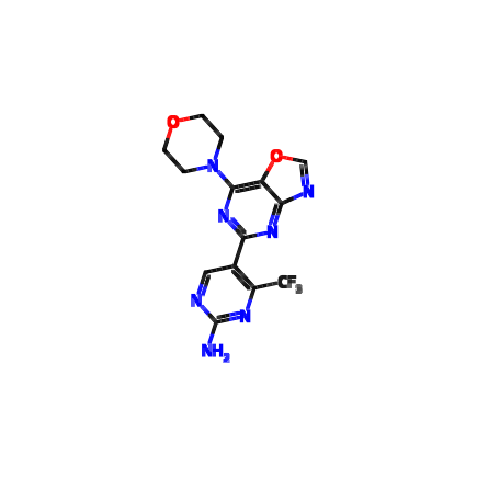 Nc1ncc(-c2nc(N3CCOCC3)c3ocnc3n2)c(C(F)(F)F)n1